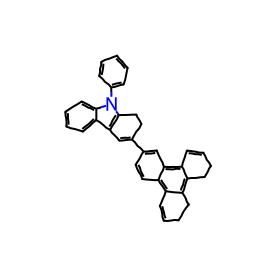 C1=Cc2c(c3c(c4cc(C5=Cc6c(n(-c7ccccc7)c7ccccc67)CC5)ccc24)C=CCC3)CC1